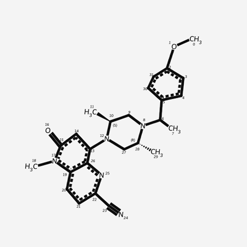 COc1ccc(C(C)N2C[C@H](C)N(c3cc(=O)n(C)c4ccc(C#N)nc34)C[C@H]2C)cc1